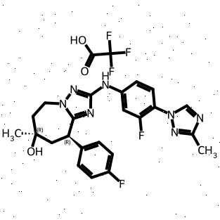 Cc1ncn(-c2ccc(Nc3nc4n(n3)CC[C@](C)(O)C[C@@H]4c3ccc(F)cc3)cc2F)n1.O=C(O)C(F)(F)F